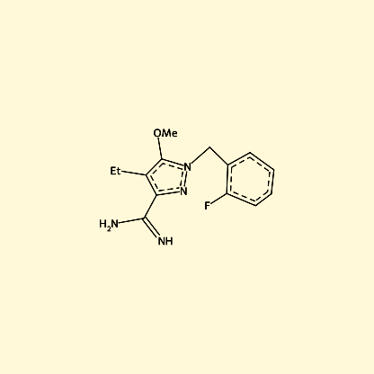 CCc1c(C(=N)N)nn(Cc2ccccc2F)c1OC